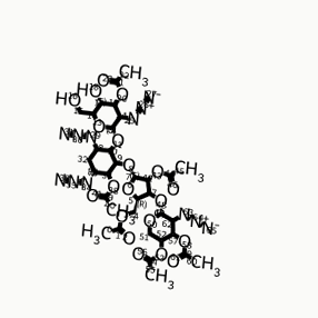 CC(=O)OC[C@H]1O[C@@H](OC2C(O[C@H]3OC(CO)[C@@H](O)C(OC(C)=O)C3N=[N+]=[N-])C(N=[N+]=[N-])C[C@@H](N=[N+]=[N-])C2OC(C)=O)C(OC(C)=O)C1O[C@H]1OCC(OC(C)=O)C(OC(C)=O)C1N=[N+]=[N-]